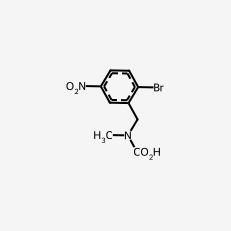 CN(Cc1cc([N+](=O)[O-])ccc1Br)C(=O)O